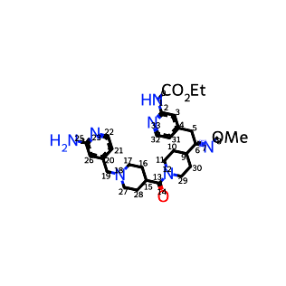 CCOC(=O)Nc1cc(C/C(=N\OC)C2CCN(C(=O)C3CCN(Cc4ccnc(N)c4)CC3)CC2)ccn1